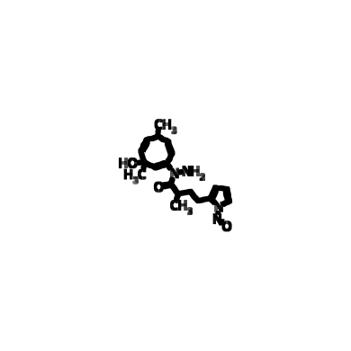 CC1/C=C\C(N(N)C(=O)C(C)CCc2cccn2N=O)=C/C(C)(O)/C=C\1